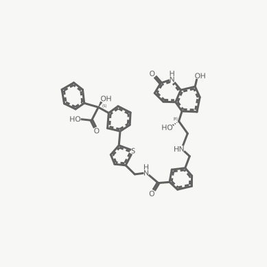 O=C(NCc1ccc(-c2cccc([C@](O)(C(=O)O)c3ccccc3)c2)s1)c1cccc(CNC[C@H](O)c2ccc(O)c3[nH]c(=O)ccc23)c1